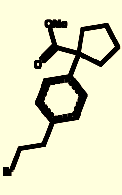 COC(=O)C1(c2ccc(CCBr)cc2)CCCC1